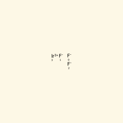 [F-].[F-].[F-].[Ir+3]